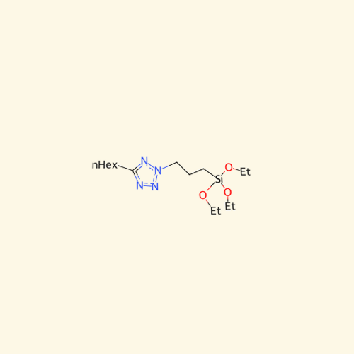 CCCCCCc1nnn(CCC[Si](OCC)(OCC)OCC)n1